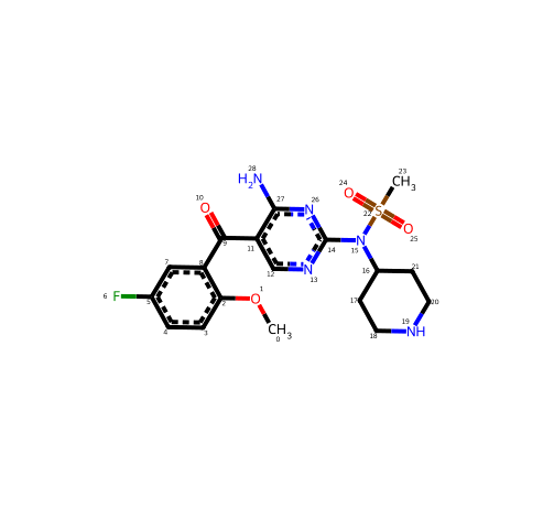 COc1ccc(F)cc1C(=O)c1cnc(N(C2CCNCC2)S(C)(=O)=O)nc1N